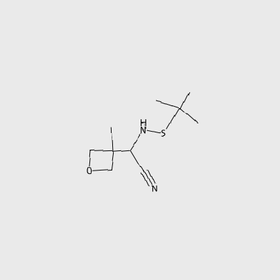 CC(C)(C)SNC(C#N)C1(C)COC1